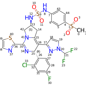 CS(=O)(=O)c1ccc(NS(=O)(=O)N[C@H]2CC3=C(c4ccn(C(F)F)n4)[C@H](c4ccc(F)cc4Cl)N=C(c4nccs4)N3C2)cc1